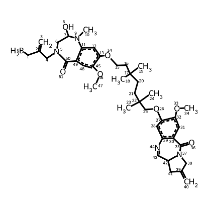 BCC(=C)CN1CC(O)N(C)c2cc(OCCC(C)(C)CCC(C)(C)COc3cc4c(cc3OC)C(=O)N3CC(=C)CC3C=N4)c(OC)cc2C1=O